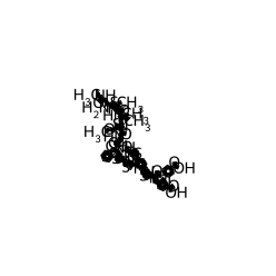 CNC(=O)C[C@H](N)c1nc(C(=O)NC(c2nc(C(=O)NCC(=O)N[C@H](c3nc(-c4nc(-c5nc(-c6nc(N(Cc7ccc(C(=O)O)nc7)C(=O)O[C@H]7CC[C@H](C(=O)O)CC7)cs6)ccc5-c5nc(C=O)cs5)cs4)cs3)[C@@H](O)c3ccccc3)c(COC)s2)C(C)C)c(C)s1